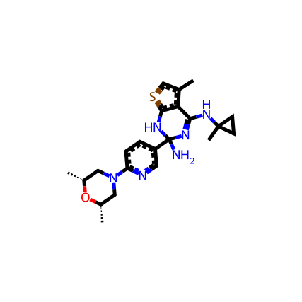 Cc1csc2c1C(NC1(C)CC1)=NC(N)(c1ccc(N3C[C@@H](C)O[C@@H](C)C3)nc1)N2